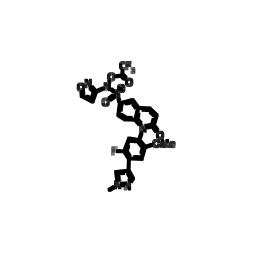 COc1cc(-c2cnn(C)c2)c(F)cc1-n1c(=O)ccc2cc(S(=O)(=O)N(OC(=O)C(F)(F)F)c3ccon3)ccc21